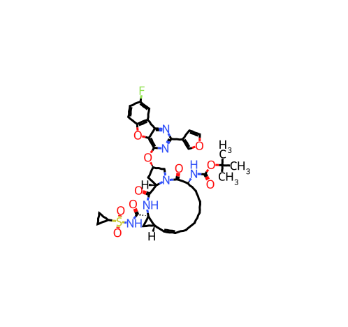 CC(C)(C)OC(=O)N[C@H]1CCCCC/C=C\[C@@H]2C[C@@]2(C(=O)NS(=O)(=O)C2CC2)NC(=O)[C@@H]2C[C@@H](Oc3nc(-c4ccoc4)nc4c3oc3ccc(F)cc34)CN2C1=O